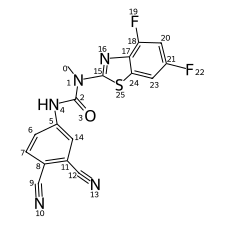 CN(C(=O)Nc1ccc(C#N)c(C#N)c1)c1nc2c(F)cc(F)cc2s1